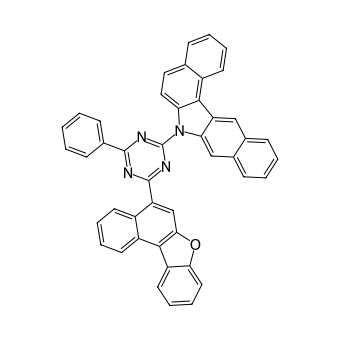 c1ccc(-c2nc(-c3cc4oc5ccccc5c4c4ccccc34)nc(-n3c4cc5ccccc5cc4c4c5ccccc5ccc43)n2)cc1